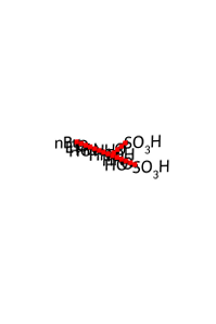 CCCCC(CC)COCC(O)CNCCNCCNCCN(CCNCC(O)COCCCS(=O)(=O)O)CC(O)COCCCS(=O)(=O)O